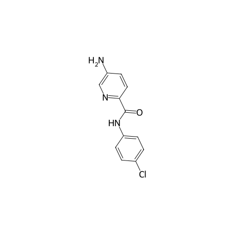 Nc1ccc(C(=O)Nc2ccc(Cl)cc2)nc1